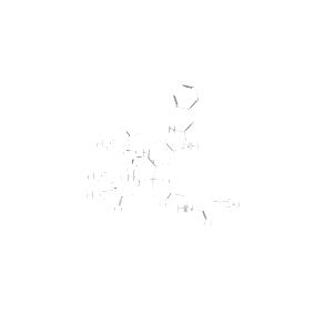 CCC1(OC(=O)CNC(=O)OC(C)(C)C)C2=C(COC1CC(=O)[Si](C)(C)C)C(CC(=O)[Si](C)(C)C)C1=C(C2)NC2=Cc3ccccc3CN21